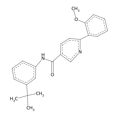 COc1ccccc1-c1ccc(C(=O)Nc2cccc(C(C)(C)C)c2)cn1